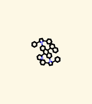 c1ccc(-c2ccc(-c3ccccc3)n2-c2ccc3c(-c4cccc5ccccc45)c4cc(-n5c(-c6ccccc6)ccc5-c5ccccc5)ccc4c(-c4ccccn4)c3c2)cc1